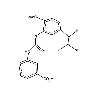 COc1ccc(C(F)C(F)F)cc1NC(=O)Nc1cccc(C(=O)O)c1